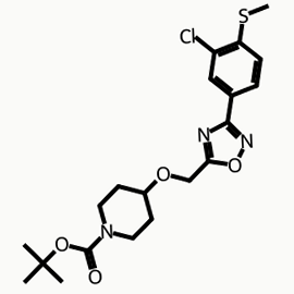 CSc1ccc(-c2noc(COC3CCN(C(=O)OC(C)(C)C)CC3)n2)cc1Cl